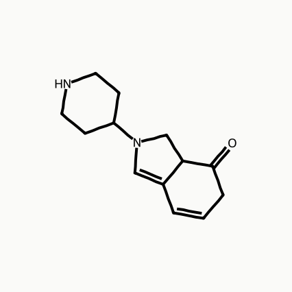 O=C1CC=CC2=CN(C3CCNCC3)CC12